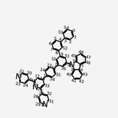 c1ccc(-c2cccc(-c3cc(-c4ccc(-c5cc(-c6ccncc6)nc(-c6ccncc6)c5)cc4)cc(-n4c5ccccc5c5ccccc54)c3)c2)cc1